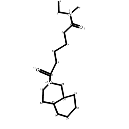 CCN(C)C(=O)CCCCC(=O)N1CCC2CCCCC2C1